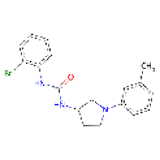 Cc1cccc(N2CCC(NC(=O)Nc3ccccc3Br)C2)c1